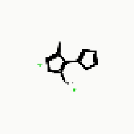 CC1=CC[C]([Zr+2])=C1C1=CC=CC1.[Cl-].[Cl-]